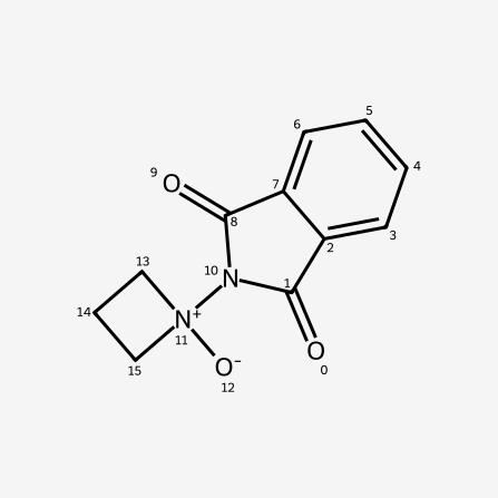 O=C1c2ccccc2C(=O)N1[N+]1([O-])CCC1